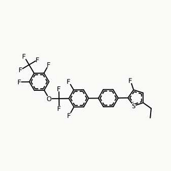 CCc1cc(F)c(-c2ccc(-c3cc(F)c(C(F)(F)Oc4cc(F)c(C(F)(F)F)c(F)c4)c(F)c3)cc2)s1